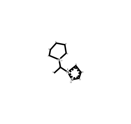 CC(N1CCCCC1)n1cccn1